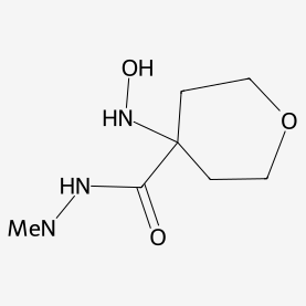 CNNC(=O)C1(NO)CCOCC1